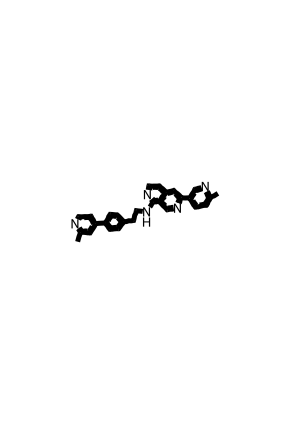 Cc1ccc(-c2cc3ccnc(NCCc4ccc(-c5ccnc(C)c5)cc4)c3cn2)cn1